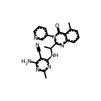 Cc1nc(N)c(C#N)c(NC(C)c2nc3cccc(C)c3c(=O)n2-c2cccnc2)n1